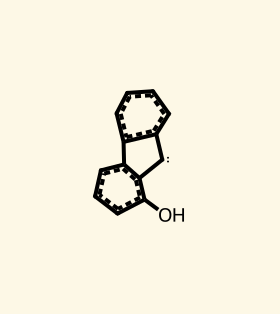 Oc1cccc2c1[C]c1ccccc1-2